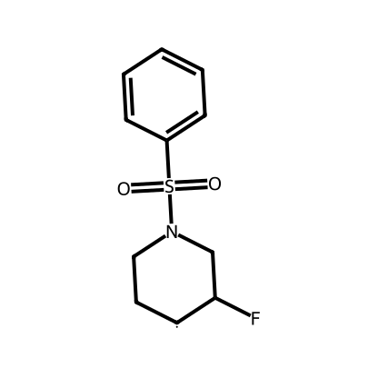 O=S(=O)(c1ccccc1)N1CC[CH]C(F)C1